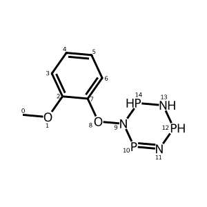 COc1ccccc1On1pn[pH][nH][pH]1